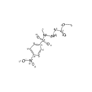 COC(=O)SNN(C)S(=O)(=O)c1ccc([N+](=O)[O-])cc1